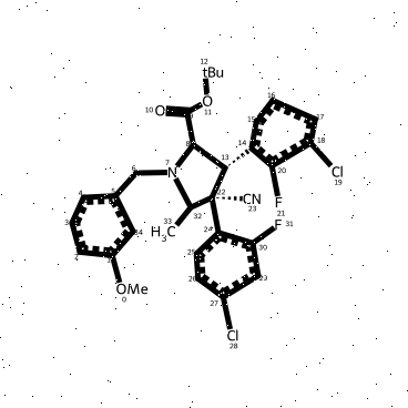 COc1cccc(CN2C(C(=O)OC(C)(C)C)[C@H](c3cccc(Cl)c3F)[C@@](C#N)(c3ccc(Cl)cc3F)C2C)c1